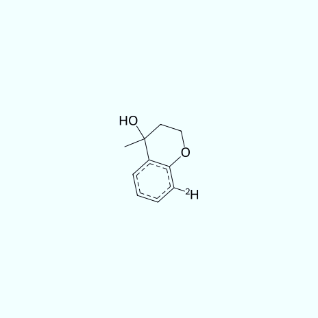 [2H]c1cccc2c1OCCC2(C)O